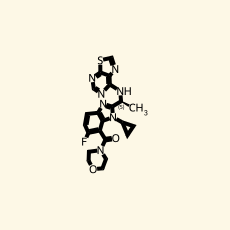 C[C@H](Nc1ncnc2scnc12)c1nc2ccc(F)c(C(=O)N3CCOCC3)c2n1C1CC1